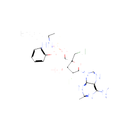 CCOC(=O)[C@H](C)NP(=S)(OC[C@@]1(CCl)O[C@@H](n2cnc3c(N(C)C)nc(C)nc32)[C@H](F)[C@@H]1O)Oc1ccccc1